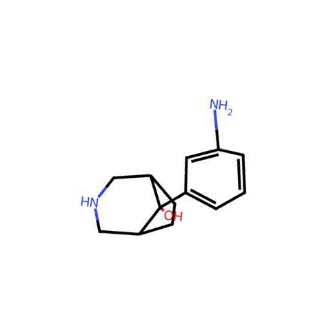 Nc1cccc(C2(O)C3CCC2CNC3)c1